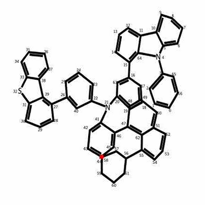 c1ccc(-n2c3ccccc3c3cccc(-c4cccc(N(c5cccc(-c6cccc7sc8ccccc8c67)c5)c5ccccc5-c5cccc6cccc(C7CCCCC7)c56)c4)c32)cc1